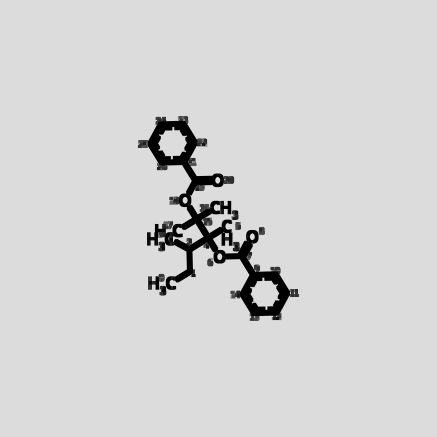 CCC(C)C(C)(OC(=O)c1ccccc1)C(C)(C)OC(=O)c1ccccc1